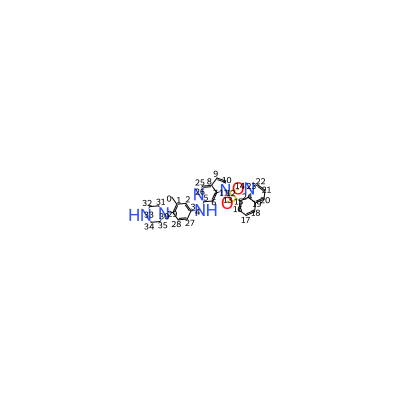 Cc1cc(Nc2cc3c(ccn3S(=O)(=O)c3cccc4cccnc34)cn2)ccc1N1CCNCC1